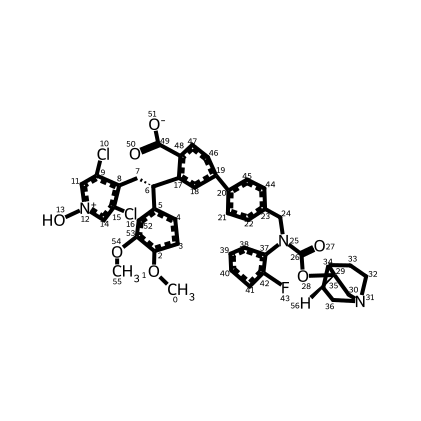 COc1ccc([C@H](Cc2c(Cl)c[n+](O)cc2Cl)c2cc(-c3ccc(CN(C(=O)O[C@H]4CN5CCC4CC5)c4ccccc4F)cc3)ccc2C(=O)[O-])cc1OC